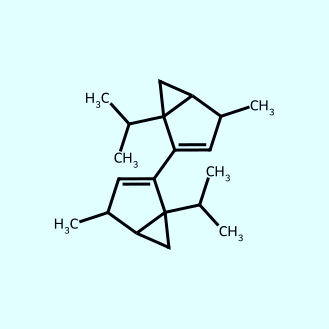 CC1C=C(C2=CC(C)C3CC23C(C)C)C2(C(C)C)CC12